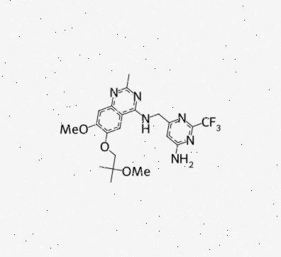 COc1cc2nc(C)nc(NCc3cc(N)nc(C(F)(F)F)n3)c2cc1OCC(C)(C)OC